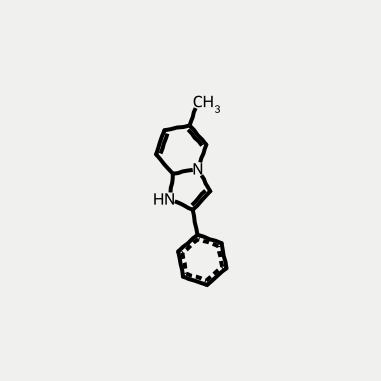 CC1=CN2C=C(c3ccccc3)NC2C=C1